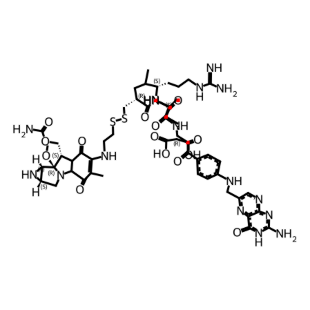 CO[C@@]12[C@H](COC(N)=O)C3C(=O)C(NCCSSC[C@H](CC(C)[C@H](CCCNC(=N)N)NC(=O)CC[C@H](CC(=O)c4ccc(NCc5cnc6nc(N)[nH]c(=O)c6n5)cc4)C(=O)O)C(=O)N[C@@H](C)C(=O)NCC(=O)O)=C(C)C(=O)C3N1C[C@@H]1N[C@@H]12